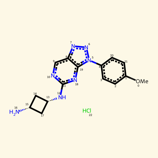 COc1ccc(-n2nnc3cnc(N[C@H]4C[C@@H](N)C4)nc32)cc1.Cl